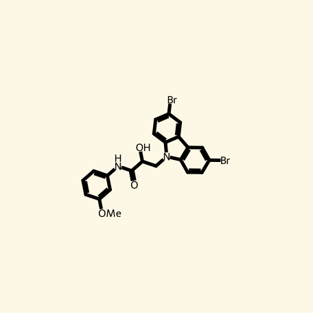 COc1cccc(NC(=O)C(O)Cn2c3ccc(Br)cc3c3cc(Br)ccc32)c1